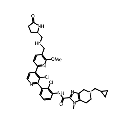 COc1nc(-c2ccnc(-c3cccc(NC(=O)c4nc5c(n4C)CCN(CC4CC4)C5)c3Cl)c2Cl)ccc1CNC[C@H]1CCC(=O)N1